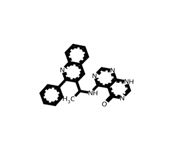 CC(Nc1ncnc2[nH]cnc(=O)c12)c1cc2ccccc2nc1-c1ccccc1